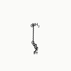 CC(C)CCC[C@@H](C)[C@H]1CCC2C3CC=C4CC(OCCCCCCCCCCCCCCCCCC(N)=O)CC[C@]4(C)C3CC[C@@]21C